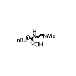 CCCCOC(=O)NCCNC.Cl